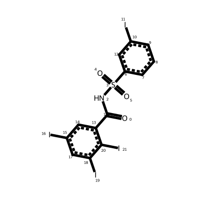 O=C(NS(=O)(=O)c1cccc(I)c1)c1cc(I)cc(I)c1I